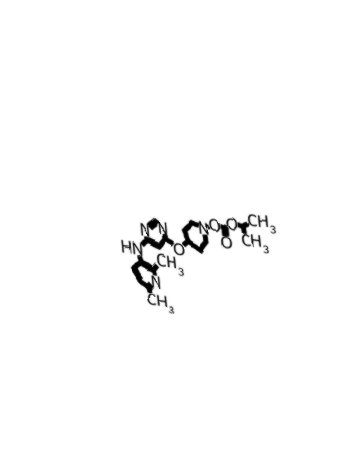 Cc1ccc(Nc2cc(OC3CCN(OC(=O)OC(C)C)CC3)ncn2)c(C)n1